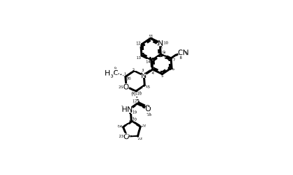 C[C@@H]1CN(c2ccc(C#N)c3ncccc23)C[C@H](C(=O)NC2CCOC2)O1